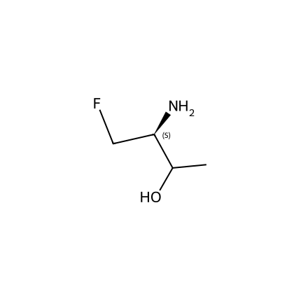 CC(O)[C@H](N)CF